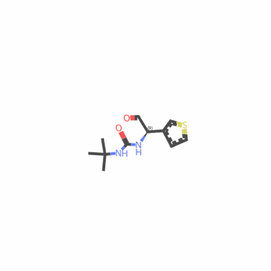 CC(C)(C)NC(=O)N[C@@H](C=O)c1ccsc1